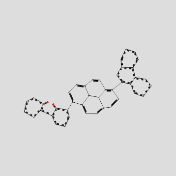 C1=CC2=C(c3cc4ccccc4c4ccccc34)C=CC3=CC=C4C(c5cccc6c5oc5ccccc56)=CC=C1C4C32